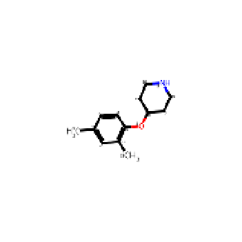 Cc1ccc(OC2CCNCC2)c(C)c1